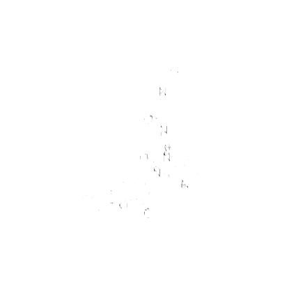 O=C(C=CN1CCOCC1)N1CC[C@@H](n2c(=O)n(-c3ccc(Oc4ccccc4)c(Cl)c3)c3cnccc32)C1